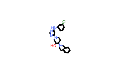 O[C@H]1CN(c2cc(Nc3cccc(Cl)c3)ncn2)CCC1N1CCc2ccccc2C1